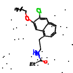 [2H]COc1cc2c(CCNC(=O)CC)cccc2cc1Cl